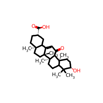 CC1(C)C2CC[C@]3(C)C(C(=O)C=C4C5C[C@@H](C(=O)O)CC[C@]5(C)CC[C@]43C)[C@@]2(C)CC[C@@H]1O